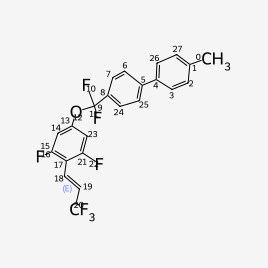 Cc1ccc(-c2ccc(C(F)(F)Oc3cc(F)c(/C=C/C(F)(F)F)c(F)c3)cc2)cc1